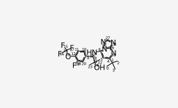 CC(C)(C)c1cc(N[C@H](c2ccc(OC(F)(F)F)c(F)c2)C(C)(C)O)n2ncnc2n1